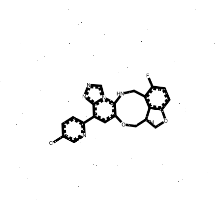 Fc1ccc2c3c1CNc1c(cc(-c4ccc(Cl)cn4)c4nncn14)OC[C@@H]3CO2